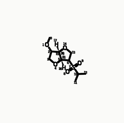 COC1CO[C@@H]2C(S(=O)(=O)C(C)C)CO[C@H]12